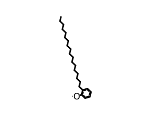 CCCCCCCCCCCCCCCCCCc1ccccc1[O]